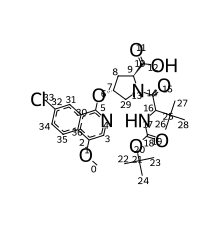 COc1cnc(O[C@@H]2C[C@@H](C(=O)O)N(C(=O)C(NC(=O)OC(C)(C)C)C(C)(C)C)C2)c2cc(Cl)ccc12